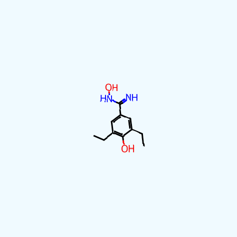 CCc1cc(C(=N)NO)cc(CC)c1O